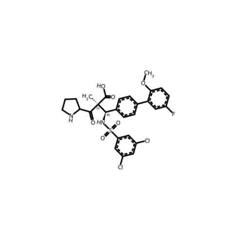 COc1ccc(F)cc1-c1ccc([C@@H](NS(=O)(=O)c2cc(Cl)cc(Cl)c2)[C@](C)(C(=O)O)C(=O)C2CCCN2)cc1